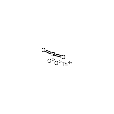 O=[Si]=O.[O-2].[O-2].[Th+4]